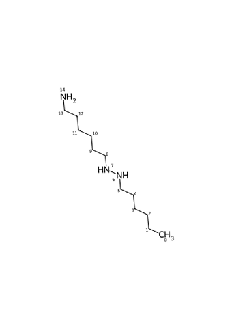 CCCCCCNNCCCCCCN